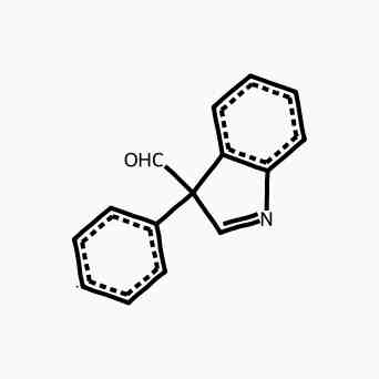 O=CC1(c2cc[c]cc2)C=Nc2ccccc21